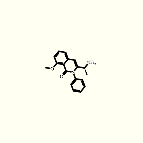 COc1cccc2cc([C@H](C)N)n(-c3ccccc3)c(=O)c12